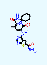 Cc1cc(Nc2ncnc3sc(C(N)=O)cc23)c(=O)n2c1C(=O)NC21CCCCC1